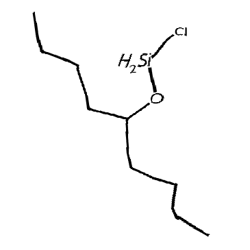 CCCCC(CCCC)O[SiH2]Cl